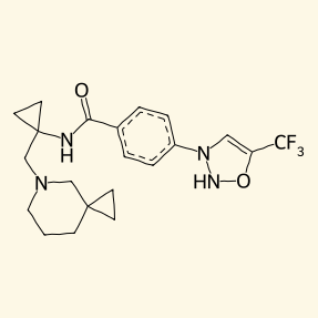 O=C(NC1(CN2CCCC3(CC3)C2)CC1)c1ccc(N2C=C(C(F)(F)F)ON2)cc1